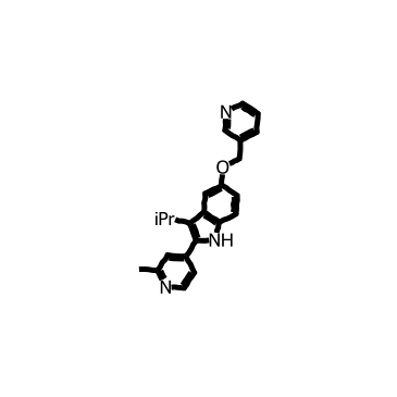 Cc1cc(-c2[nH]c3ccc(OCc4cccnc4)cc3c2C(C)C)ccn1